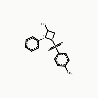 Cc1ccc(S(=O)(=O)N2CC(O)[C@H]2c2ccccc2)cc1